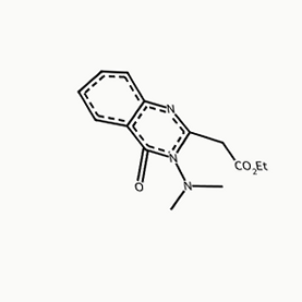 CCOC(=O)Cc1nc2ccccc2c(=O)n1N(C)C